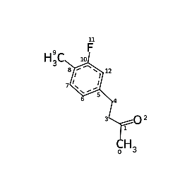 CC(=O)CCc1ccc(C)c(F)c1